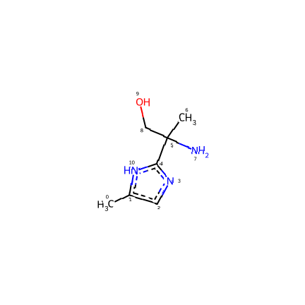 Cc1cnc(C(C)(N)CO)[nH]1